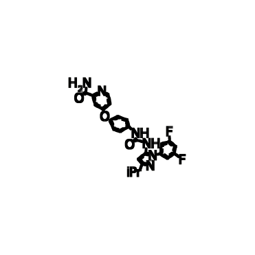 CC(C)c1cc(NC(=O)Nc2ccc(Oc3ccnc(C(N)=O)c3)cc2)n(-c2cc(F)cc(F)c2)n1